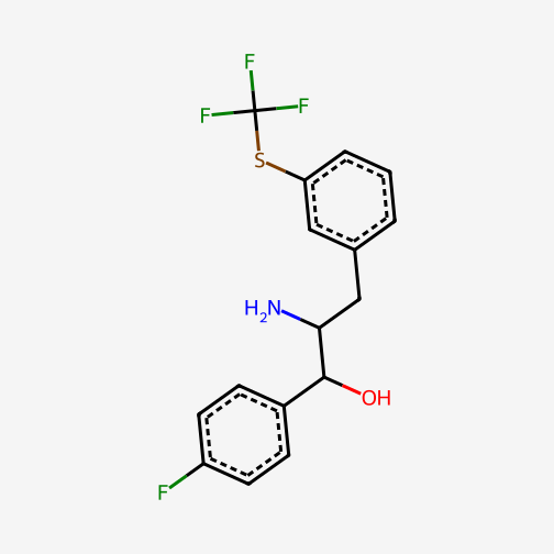 NC(Cc1cccc(SC(F)(F)F)c1)C(O)c1ccc(F)cc1